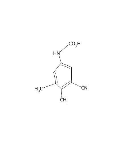 Cc1cc(NC(=O)O)cc(C#N)c1C